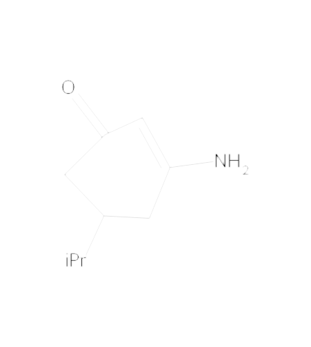 CC(C)C1CC(=O)C=C(N)C1